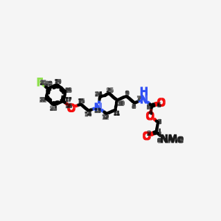 CNC(=O)COC(=O)NCCC1CCN(CCOc2ccc(F)cc2)CC1